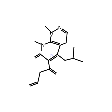 C=CCC(=C)/C(C=C)=C(\CC(C)C)C1=C(NC)N(C)N=CC1